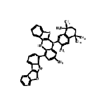 Cc1cc(-c2cccc3c2[nH]c2oc4ccccc4c23)c2c(c1)N(c1cc3c(cc1C)C(C)(C)CCC3(C)C)c1sc3ccccc3c1B2